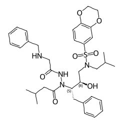 CC(C)CC(=O)N(NC(=O)CNCc1ccccc1)[C@@H](Cc1ccccc1)[C@H](O)CN(CC(C)C)S(=O)(=O)c1ccc2c(c1)OCCO2